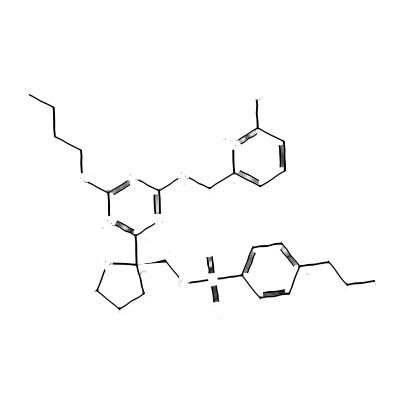 CCCCNc1nc(NCc2cccc(C)n2)nc([C@]2(CNS(=O)(=O)c3ccc(CCC)cc3)CCCN2)n1